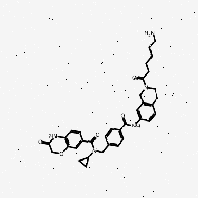 NCCCCCC(=O)N1CCc2ccc(NC(=O)c3ccc(CN(C(=O)c4ccc5c(c4)OCC(=O)N5)C4CC4)cc3)cc2C1